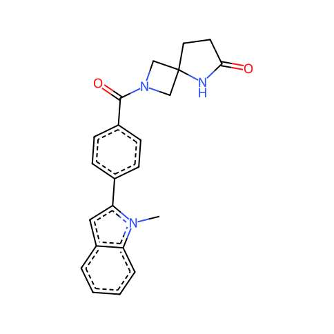 Cn1c(-c2ccc(C(=O)N3CC4(CCC(=O)N4)C3)cc2)cc2ccccc21